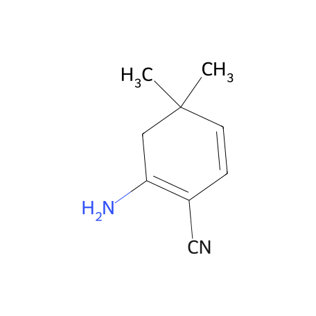 CC1(C)C=CC(C#N)=C(N)C1